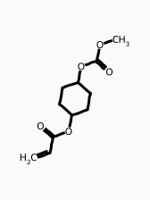 C=CC(=O)OC1CCC(OC(=O)OC)CC1